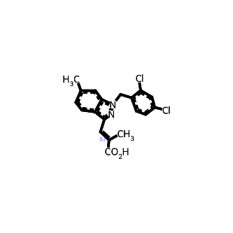 C/C(=C\c1nn(Cc2ccc(Cl)cc2Cl)c2cc(C)ccc12)C(=O)O